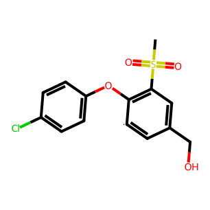 CS(=O)(=O)c1cc(CO)c[c]c1Oc1ccc(Cl)cc1